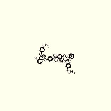 C=Cc1ccc(O[Si](C)(c2ccccc2)C(C)(C)Oc2ccc(C(C)(C)c3ccc(O[Si]4(c5ccccc5)CCC4(C)Oc4ccc(C)cc4)cc3)cc2)cc1